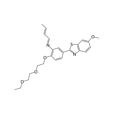 C/C=C/C=Nc1cc(-c2nc3ccc(OC)cc3s2)ccc1OCCOCCOCC